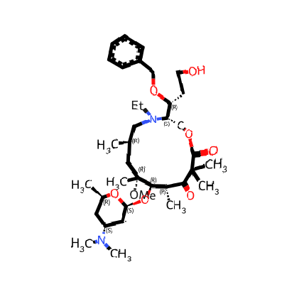 CCN1C[C@H](C)C[C@@](C)(OC)[C@H](O[C@H]2[CH][C@H](N(C)C)C[C@@H](C)O2)[C@@H](C)C(=O)C(C)(C)C(=O)OC[C@H]1[C@@H](CCO)OCc1ccccc1